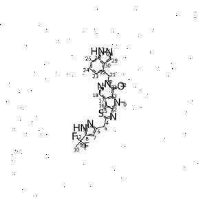 Cn1c2nc(Cc3cc(C(C)(F)F)[nH]n3)sc2c2cnn(Cc3cccc4[nH]ncc34)c(=O)c21